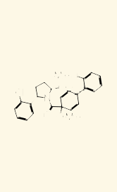 COc1ccccc1C1C=CC(OC)(C(=O)N2[C@@H](c3ccccc3Cl)CC[C@H]2C(=O)O)C=C1